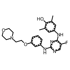 Cc1cc(Nc2nc(Nc3cccc(OCCN4CCOCC4)c3)ncc2F)cc(C)c1O